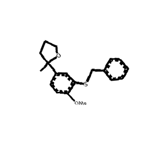 COc1ccc(C2(C)CCCO2)cc1SCc1ccccc1